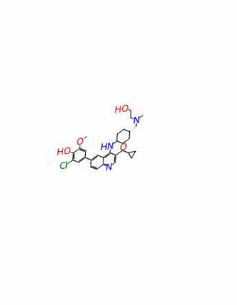 COc1cc(-c2ccc3ncc(C(=O)C4CC4)c(N[C@H]4CC[C@H](CN(C)CCO)CC4)c3c2)cc(Cl)c1O